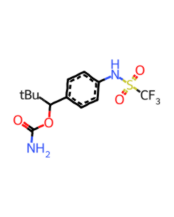 CC(C)(C)C(OC(N)=O)c1ccc(NS(=O)(=O)C(F)(F)F)cc1